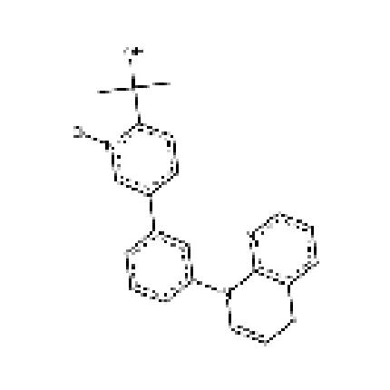 CC(C)(O)c1ccc(-c2cccc(N3C=CCc4cccnc43)c2)c[n+]1[O-]